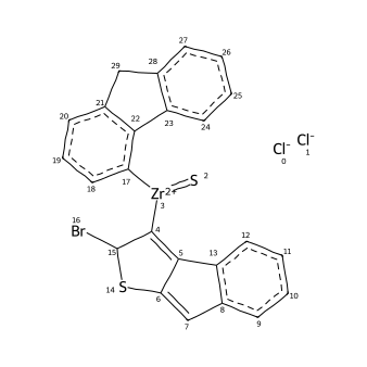 [Cl-].[Cl-].[S]=[Zr+2]([C]1=C2C(=Cc3ccccc32)SC1Br)[c]1cccc2c1-c1ccccc1C2